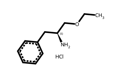 CCOC[C@@H](N)Cc1ccccc1.Cl